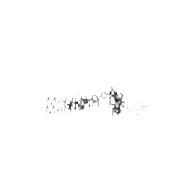 COC(=O)N[C@H](C(=O)N1CCC[C@H]1c1ncc(-c2ccc(-c3ccc(-c4cnc([C@@H]5CCCN5C(=O)[C@H](Cn5cccn5)N(C)C(=O)O)[nH]4)cc3)cc2)[nH]1)[C@@H](C)OC